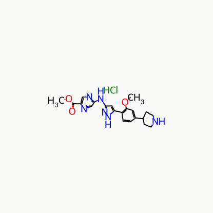 COC(=O)c1cnc(Nc2cc(-c3ccc(C4CCNCC4)cc3OC)[nH]n2)cn1.Cl